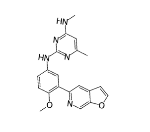 CNc1cc(C)nc(Nc2ccc(OC)c(-c3cc4ccoc4cn3)c2)n1